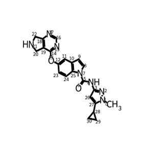 Cn1nc(NC(=O)n2ccc3cc(Oc4ncnc5c4CNC5)ccc32)cc1C1CC1